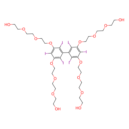 OCCOCCOCCOc1c(I)c(OCCOCCOCCO)c(I)c(-c2c(I)c(OCCOCCOCCO)c(I)c(OCCOCCOCCO)c2I)c1I